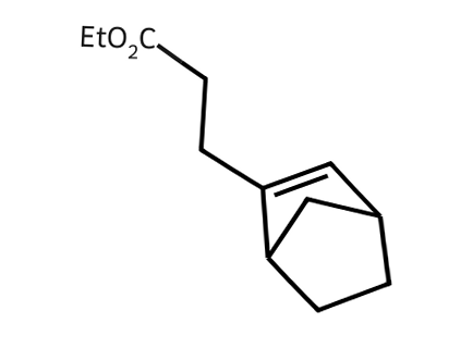 CCOC(=O)CCC1=CC2CCC1C2